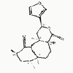 C[C@@H]1C[C@@H](C)[C@]2(C)CC[C@@H]3C(=O)O[C@H](c4ccoc4)C[C@]3(C)C2C1=O